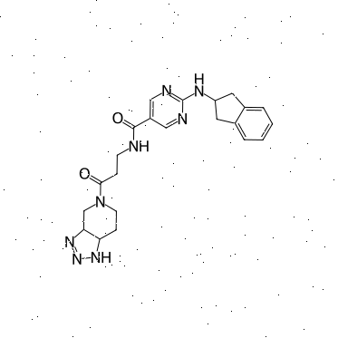 O=C(NCCC(=O)N1CCC2NN=NC2C1)c1cnc(NC2Cc3ccccc3C2)nc1